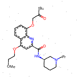 COCCOc1cc(C(=O)N[C@@H]2CCCN(C(C)C)C2)nc2c(OCC(=O)C(C)(C)C)cccc12